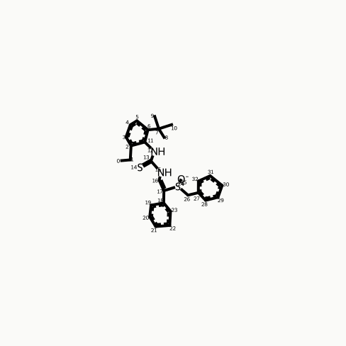 CCc1cccc(C(C)(C)C)c1NC(=S)NC=C(c1ccccc1)[S+]([O-])Cc1ccccc1